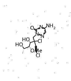 CO[C@H]([C@H](C)O)[C@H](O)C(Cl)(C#CCl)Cn1ncc(N)nc1=O